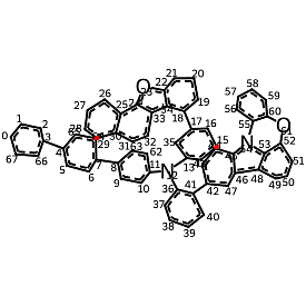 c1ccc(-c2ccc(-c3ccc(N(c4cccc(-c5cccc6oc7c8ccccc8ccc7c56)c4)c4ccccc4-c4ccc5c(c4)c4cccc6c4n5-c4ccccc4O6)cc3)cc2)cc1